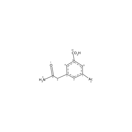 CC(=O)c1cc(CC(N)=O)cc(C(=O)O)c1